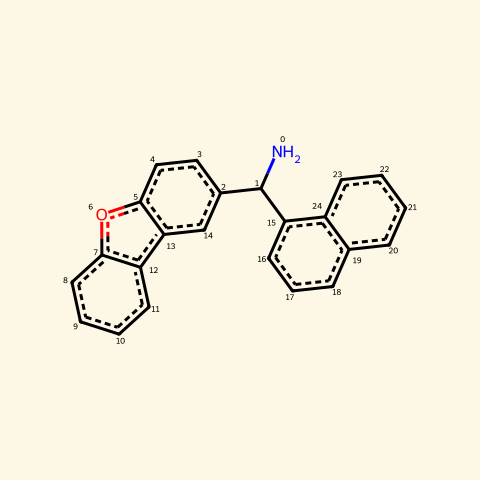 NC(c1ccc2oc3ccccc3c2c1)c1cccc2ccccc12